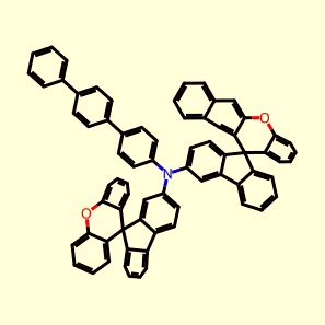 c1ccc(-c2ccc(-c3ccc(N(c4ccc5c(c4)-c4ccccc4C54c5ccccc5Oc5cc6ccccc6cc54)c4ccc5c(c4)C4(c6ccccc6Oc6ccccc64)c4ccccc4-5)cc3)cc2)cc1